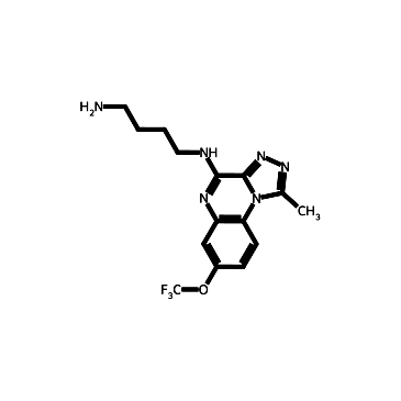 Cc1nnc2c(NCCCCN)nc3cc(OC(F)(F)F)ccc3n12